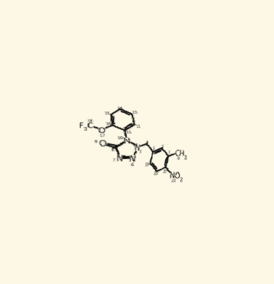 Cc1cc(Cn2nnc(=O)n2-c2ccccc2OC(F)(F)F)ccc1[N+](=O)[O-]